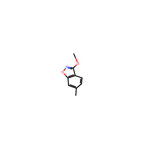 COc1noc2cc(C)ccc12